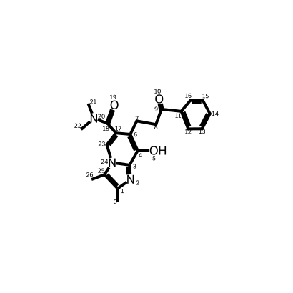 Cc1nc2c(O)c(CCC(=O)c3ccccc3)c(C(=O)N(C)C)cn2c1C